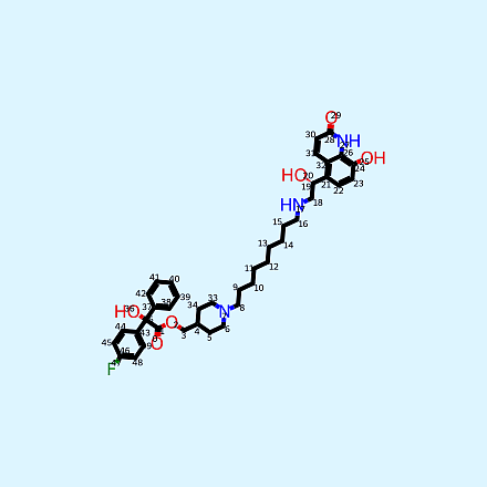 O=C(OCC1CCN(CCCCCCCCCNC[C@H](O)c2ccc(O)c3[nH]c(=O)ccc23)CC1)C(O)(c1ccccc1)c1ccc(F)cc1